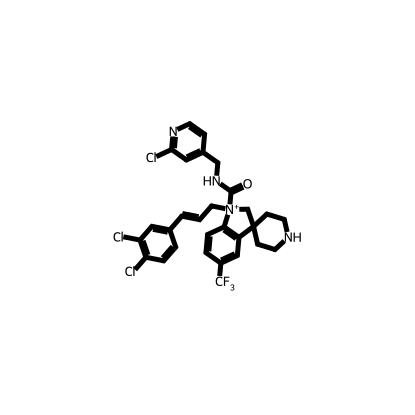 O=C(NCc1ccnc(Cl)c1)[N+]1(C/C=C/c2ccc(Cl)c(Cl)c2)CC2(CCNCC2)c2cc(C(F)(F)F)ccc21